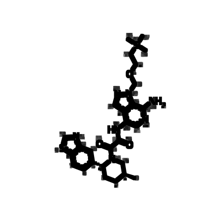 C[C@H]1CC[C@H](c2ccc3scnc3c2)N(C(=O)C(=O)Nc2cnc(N)c3c2cnn3COCC[Si](C)(C)C)C1